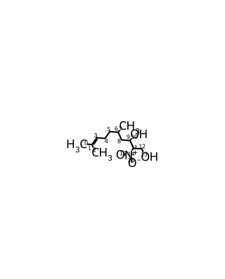 CC(C)=CCCC(C)CC(O)C(CO)[N+](=O)[O-]